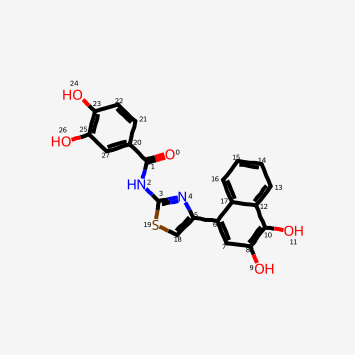 O=C(Nc1nc(-c2cc(O)c(O)c3ccccc23)cs1)c1ccc(O)c(O)c1